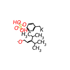 CC(C)C(=CC[O])C(C)C.O=S(=O)(O)O.[K][CH2]c1ccccc1